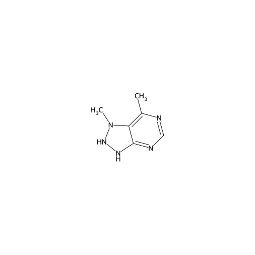 Cc1ncnc2c1N(C)NN2